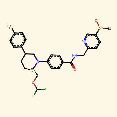 CC[S+]([O-])c1ccc(CNC(=O)c2ccc(N3CC(c4ccc(C(F)(F)F)cc4)CC[C@H]3COC(F)F)cc2)nc1